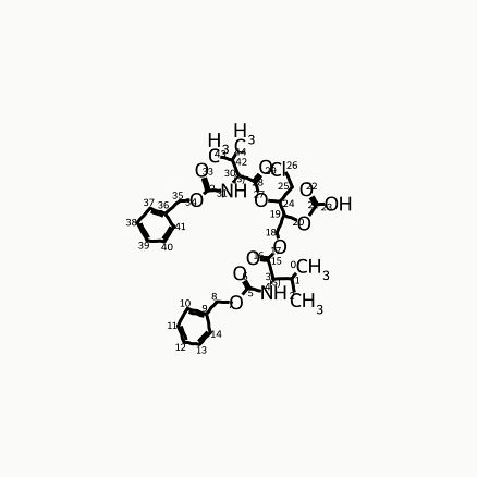 CC(C)[C@H](NC(=O)OCc1ccccc1)C(=O)OCC(OC(=O)O)C(CCl)OC(=O)[C@@H](NC(=O)OCc1ccccc1)C(C)C